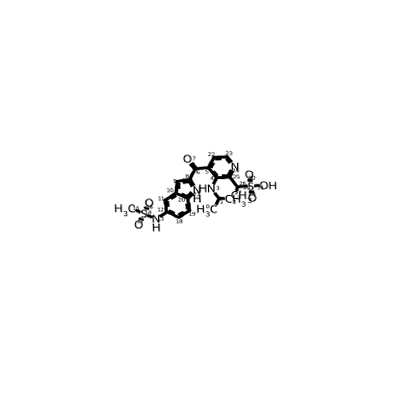 CC(C)Nc1c(C(=O)c2cc3cc(NS(C)(=O)=O)ccc3[nH]2)ccnc1C(C)S(=O)(=O)O